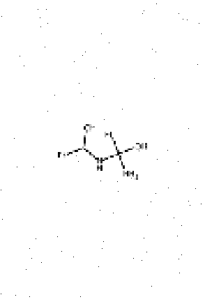 CCC(O)NC(N)(O)CC